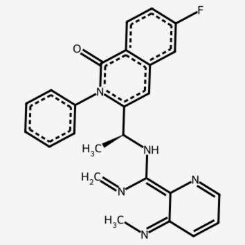 C=N/C(N[C@@H](C)c1cc2cc(F)ccc2c(=O)n1-c1ccccc1)=C1/N=CC=C/C1=N/C